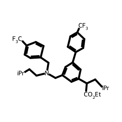 CCOC(=O)C(CC(C)C)c1cc(CN(CCC(C)C)Cc2ccc(C(F)(F)F)cc2)cc(-c2ccc(C(F)(F)F)cc2)c1